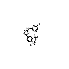 C[C@]1(c2ccc(S(C)(=O)=O)c(C(F)(F)F)c2)CSC(Nc2cncc(Cl)n2)=N1